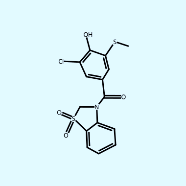 CSc1cc(C(=O)N2CS(=O)(=O)c3ccccc32)cc(Cl)c1O